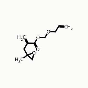 C=CCOCOC(=O)C(=C)CC1(C)CO1